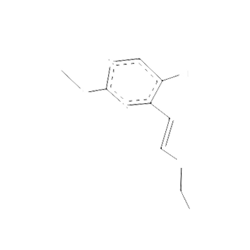 CCO/C=C/c1nc(SC)ncc1Cl